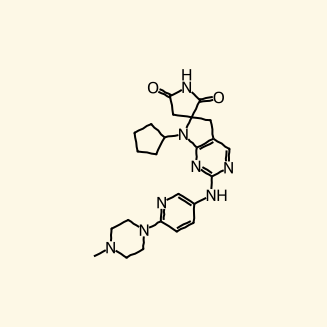 CN1CCN(c2ccc(Nc3ncc4c(n3)N(C3CCCC3)C3(CC(=O)NC3=O)C4)cn2)CC1